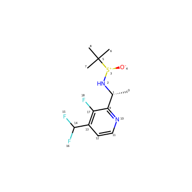 C[C@@H](N[S@+]([O-])C(C)(C)C)c1nccc(C(F)F)c1F